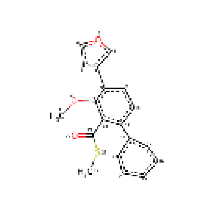 COc1c(-c2ccoc2)ccc(-c2ccccc2)c1C(=O)SC